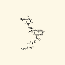 CC(=O)N[C@H]1CC[C@@H](CNC(=O)c2cc(C(=O)NCc3ccc(F)c(C)c3)nc3ncnn23)CC1